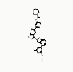 CS(=O)(=O)NCc1cc(F)cc(-c2cccc3[nH]c(-c4n[nH]c5ncc(-c6cncc(NC(=O)C7CCCCC7)c6)cc45)cc23)c1